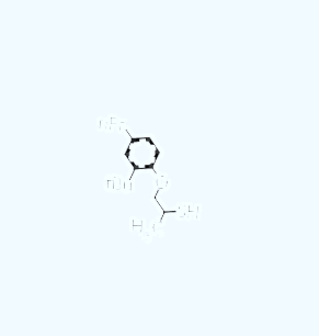 CCCc1ccc(OCC(C)S)c(C(C)(C)C)c1